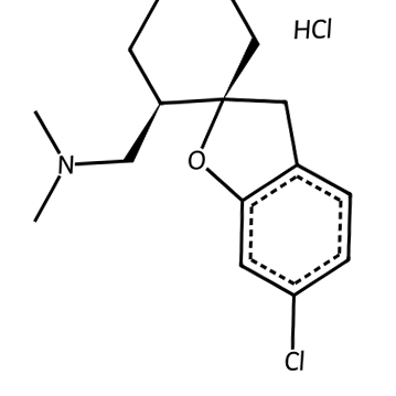 CN(C)C[C@H]1CCCC[C@]12Cc1ccc(Cl)cc1O2.Cl